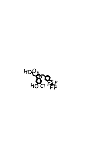 Cc1c(CC(=O)O)c2cc(O)c(Cl)cc2n1Cc1ccc(SC(F)(F)C(F)F)cc1